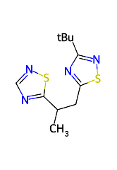 CC(Cc1nc(C(C)(C)C)ns1)c1ncns1